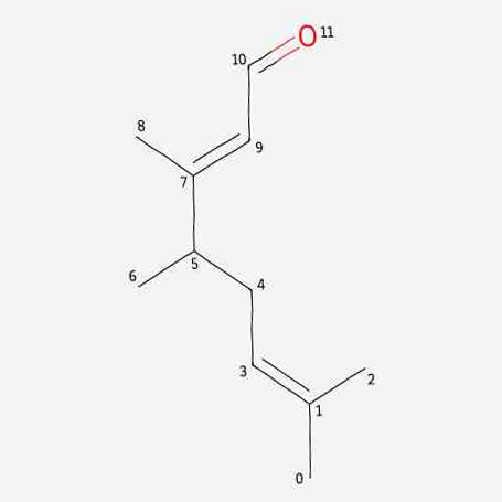 CC(C)=CCC(C)/C(C)=C/C=O